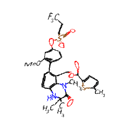 COc1cc(OS(=O)(=O)CCC(F)(F)F)ccc1-c1ccc2c(c1COC(=O)c1ccc(C)s1)N(C)C(=O)C(C)(C)N2